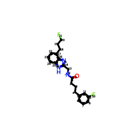 O=C(CCCc1cccc(F)c1)[N]Cc1nc2c(CCCF)cccc2[nH]1